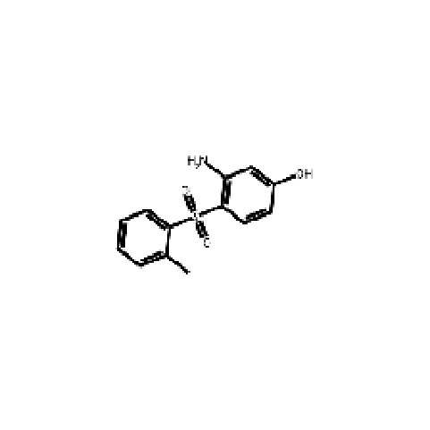 Cc1ccccc1S(=O)(=O)c1ccc(O)cc1N